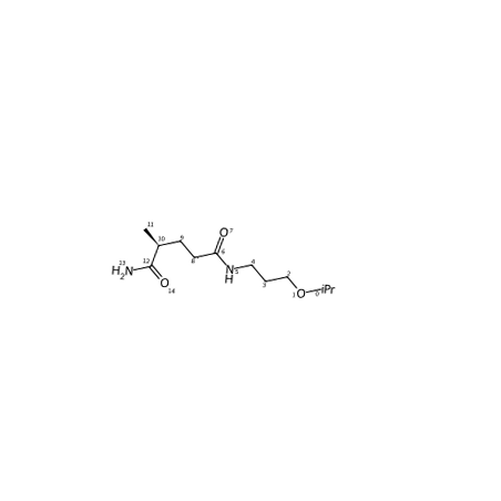 CC(C)OCCCNC(=O)[CH]C[C@H](C)C(N)=O